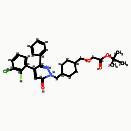 CC(C)(C)OC(=O)COCC1CCC(Cn2nc(-c3ccccc3)c(-c3cccc(Cl)c3F)cc2=O)CC1